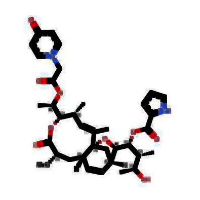 CO[C@H]1C[C@H]2C=C[C@@H]3C[C@]2(O[C@H]3[C@H](OC(=O)c2ccc[nH]2)[C@H](C)[C@H](C)O)/C(C)=C/[C@@H](C)[C@@H]([C@@H](C)OC(=O)Cn2ccc(=O)cc2)OC1=O